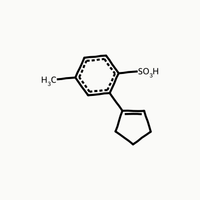 Cc1ccc(S(=O)(=O)O)c(C2=CCCC2)c1